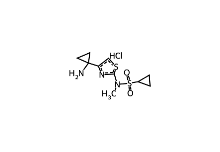 CN(c1nc(C2(N)CC2)cs1)S(=O)(=O)C1CC1.Cl